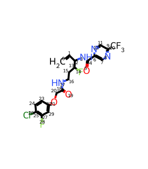 C=CC(NC(=O)c1cnc(C(F)(F)F)cn1)C(F)CCNC(=O)COc1ccc(Cl)c(F)c1